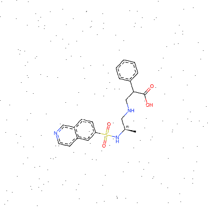 C[C@H](CNCC(C(=O)O)c1ccccc1)NS(=O)(=O)c1ccc2cnccc2c1